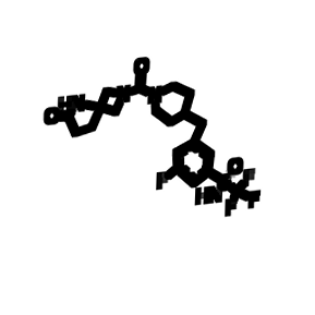 N=S(=O)(c1cc(F)cc(CC2CCN(C(=O)N3CC4(CCC(=O)N4)C3)CC2)c1)C(F)(F)F